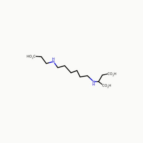 O=C(O)CCNCCCCCCNC(CC(=O)O)C(=O)O